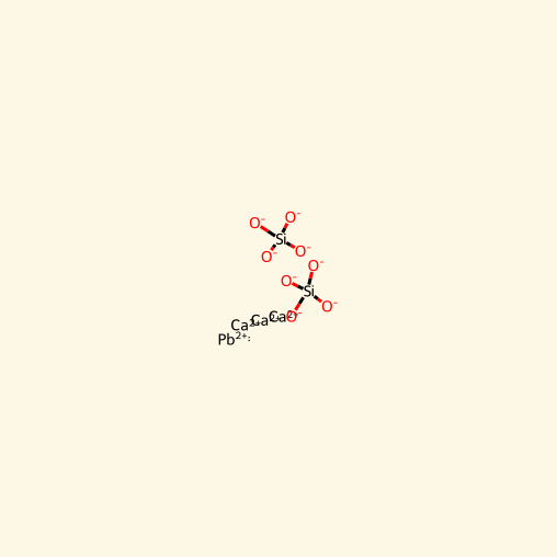 [Ca+2].[Ca+2].[Ca+2].[O-][Si]([O-])([O-])[O-].[O-][Si]([O-])([O-])[O-].[Pb+2]